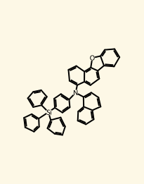 c1ccc([Si](c2ccccc2)(c2ccccc2)c2ccc(N(c3cccc4ccccc34)c3cccc4c3ccc3c5ccccc5oc43)cc2)cc1